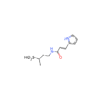 CC(CCNC(=O)C=Cc1ccc[nH]1)S(=O)(=O)O